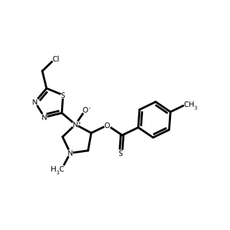 Cc1ccc(C(=S)OC2CN(C)C[N+]2([O-])c2nnc(CCl)s2)cc1